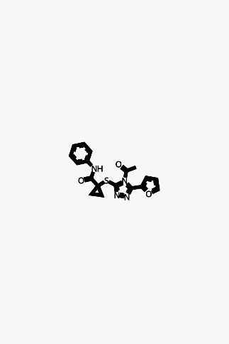 CC(=O)n1c(SC2(C(=O)Nc3ccccc3)CC2)nnc1-c1ccco1